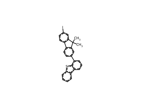 CC1(C)c2cc(I)ccc2-c2ccc(-c3cccc4c3sc3ccccc34)cc21